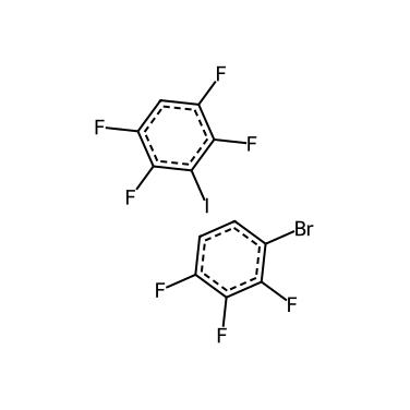 Fc1cc(F)c(F)c(I)c1F.Fc1ccc(Br)c(F)c1F